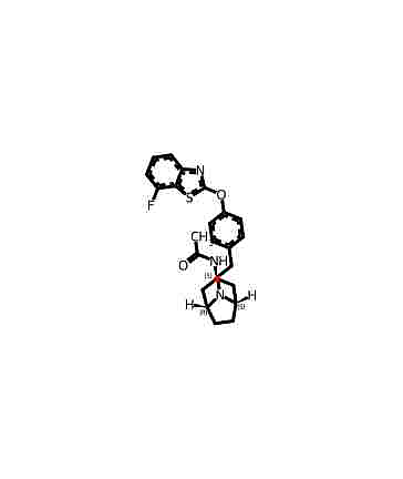 CC(=O)N[C@@H]1C[C@H]2CC[C@@H](C1)N2CCc1ccc(Oc2nc3cccc(F)c3s2)cc1